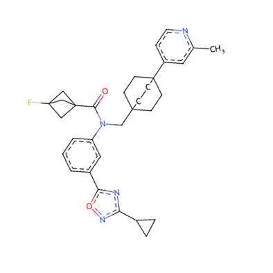 Cc1cc(C23CCC(CN(C(=O)C45CC(F)(C4)C5)c4cccc(-c5nc(C6CC6)no5)c4)(CC2)CC3)ccn1